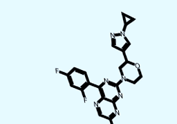 Cc1cnc2c(-c3ccc(F)cc3F)nc(N3CCOC(c4cnn(C5CC5)c4)C3)nc2n1